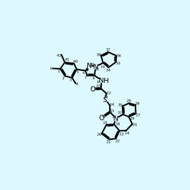 Cc1cc(C)c(-c2cc(NC(=O)CSCC(=O)N3c4ccccc4CCc4ccccc43)n(-c3ccccc3)n2)cc1C